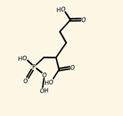 O=C(O)CCC(CP(=O)(O)OO)C(=O)O